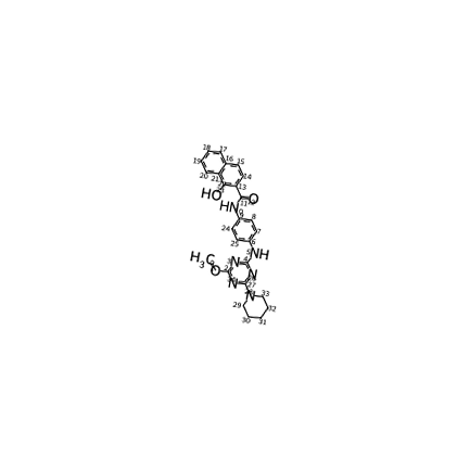 COc1nc(Nc2ccc(NC(=O)c3ccc4ccccc4c3O)cc2)nc(N2CCCCC2)n1